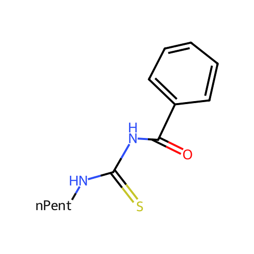 CCCCCNC(=S)NC(=O)c1ccccc1